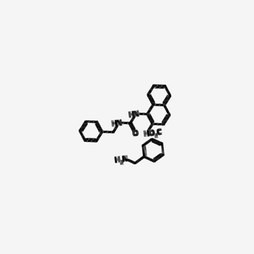 NCc1ccccc1.O=C(NCc1ccccc1)Nc1c(C(=O)O)ccc2ccccc12